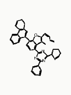 C=C/C=C\c1oc2c(-c3cc4c(c5ccccc35)C=CCC4)ccc(-c3nc(-c4ccccc4)nc(C4C=CCCC4)n3)c2c1C